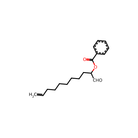 C=CCCCCCCCC(C=O)OC(=O)c1ccccc1